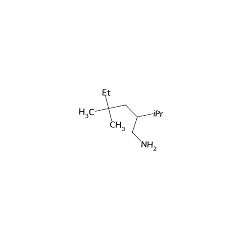 CCC(C)(C)CC(CN)C(C)C